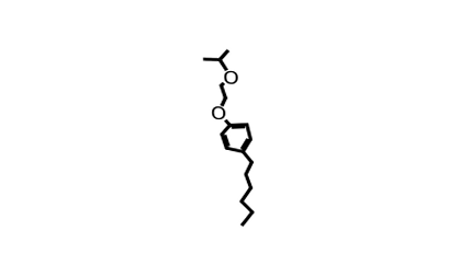 CCCCCCc1ccc(OCCOC(C)C)cc1